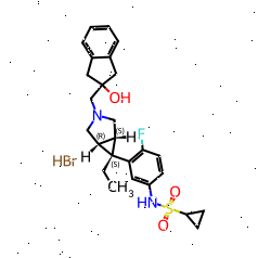 Br.CC[C@@]1(c2cc(NS(=O)(=O)C3CC3)ccc2F)[C@@H]2CN(CC3(O)Cc4ccccc4C3)C[C@@H]21